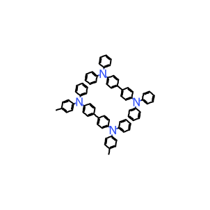 Cc1ccc(N(c2ccccc2)c2ccc(-c3ccc(N(c4ccccc4)c4ccc(C)cc4)cc3)cc2)cc1.c1ccc(N(c2ccccc2)c2ccc(-c3ccc(N(c4ccccc4)c4ccccc4)cc3)cc2)cc1